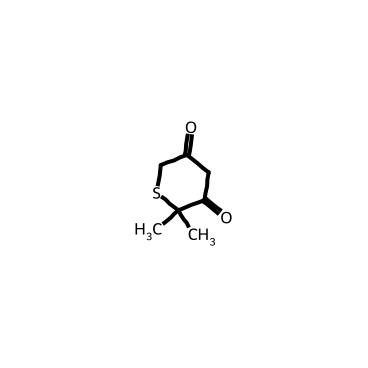 CC1(C)SCC(=O)CC1=O